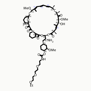 CCOCCOCCOCCNC(=O)O[C@@H]1CC[C@@H](C[C@@H](N)[C@@H]2CC(=O)[C@H](C)/C=C(\C)[C@@H](O)[C@@H](OC)C(=O)[C@H](C)C[C@H](C)/C=C/C=C/C=C(\C)[C@@H](OC)C[C@@H]3CC[C@@H](C)[C@@](O)(O3)C(=O)C(=O)N3CCCC[C@H]3C(=O)O2)C[C@H]1OC